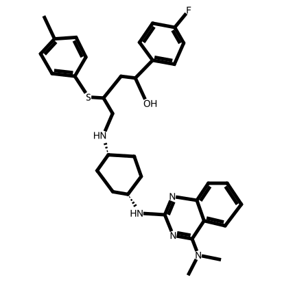 Cc1ccc(SC(CN[C@H]2CC[C@@H](Nc3nc(N(C)C)c4ccccc4n3)CC2)CC(O)c2ccc(F)cc2)cc1